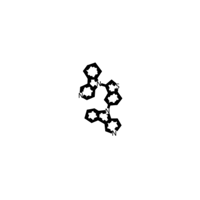 c1ccc2c(c1)c1cnccc1n2-c1ccc2scc(-n3c4ccccc4c4cnccc43)c2c1